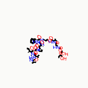 CCC(CO)OC(O)COC(=O)NCCC(=O)N[C@H](C(=O)OCCCNC(=O)[C@H](Cc1ccccc1)NC(=O)[C@H](C)[C@@H](OC)[C@@H]1CCCN1C(=O)C[C@@H](OC)[C@H]([C@@H](C)CC)N(C)C(=O)[C@@H](NC(=O)[C@H](C(C)C)N(C)C)C(C)C)C(C)C